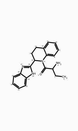 CCC(N)C(=O)N1c2ccccc2CCC1c1nc2ccccc2[nH]1